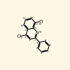 Clc1cc(-c2ccccc2)nc2c(Cl)cccc12